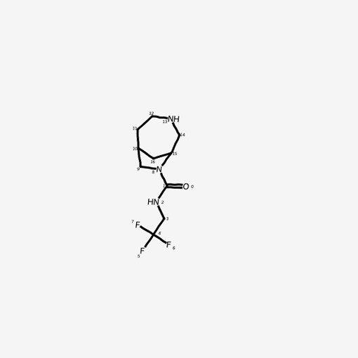 O=C(NCC(F)(F)F)N1CC2CCNCC1C2